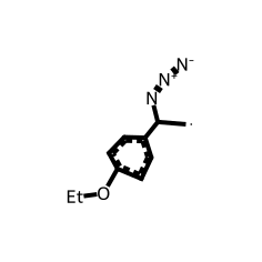 [CH2]C(N=[N+]=[N-])c1ccc(OCC)cc1